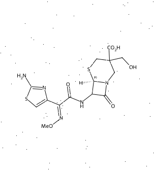 CON=C(C(=O)NC1C(=O)N2CC(CO)(C(=O)O)CS[C@H]12)c1csc(N)n1